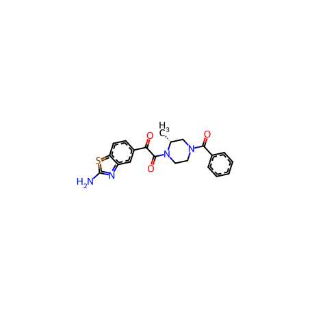 C[C@@H]1CN(C(=O)c2ccccc2)CCN1C(=O)C(=O)c1ccc2sc(N)nc2c1